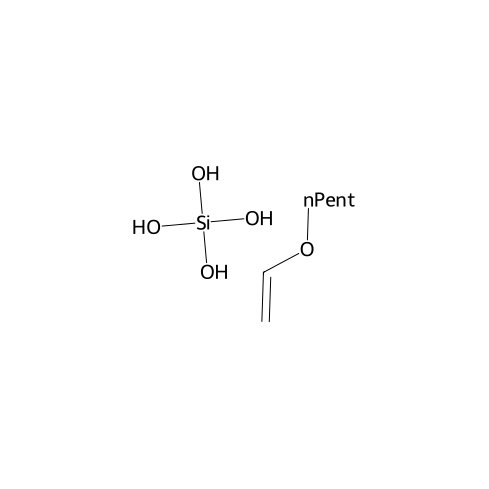 C=COCCCCC.O[Si](O)(O)O